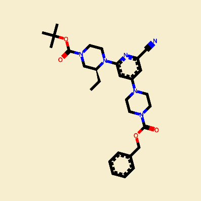 CC[C@H]1CN(C(=O)OC(C)(C)C)CCN1c1cc(N2CCN(C(=O)OCc3ccccc3)CC2)cc(C#N)n1